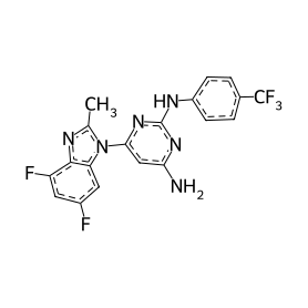 Cc1nc2c(F)cc(F)cc2n1-c1cc(N)nc(Nc2ccc(C(F)(F)F)cc2)n1